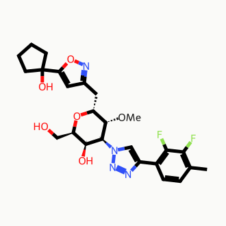 CO[C@@H]1[C@@H](n2cc(-c3ccc(C)c(F)c3F)nn2)[C@@H](O)[C@@H](CO)O[C@@H]1Cc1cc(C2(O)CCCC2)on1